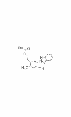 CCC(C)C(=O)OCCC1C=C(n2nc3ccccc3n2)C(O)=CC1C